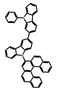 c1ccc(-n2c3ccccc3c3ccc(-c4ccc5c(c4)c4ccccc4n5-c4cc5ccc6ccccc6c5c5c4ccc4ccccc45)cc32)cc1